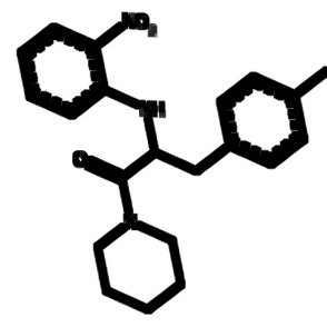 Cc1ccc(CC(Nc2ccccc2[N+](=O)[O-])C(=O)N2CCCCC2)cc1